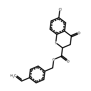 C=Cc1ccc(COC(=O)C2CC(=O)c3cc(Cl)ccc3S2)cc1